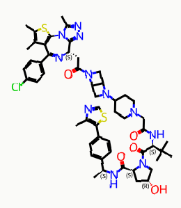 Cc1ncsc1-c1ccc([C@H](C)NC(=O)[C@@H]2C[C@@H](O)CN2C(=O)[C@@H](NC(=O)CN2CCC(N3CC4C3CN4C(=O)C[C@@H]3N=C(c4ccc(Cl)cc4)c4c(sc(C)c4C)-n4c(C)nnc43)CC2)C(C)(C)C)cc1